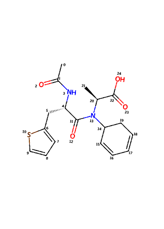 CC(=O)N[C@@H](Cc1cccs1)C(=O)N(C1C=CC=CC1)[C@@H](C)C(=O)O